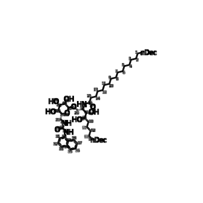 CCCCCCCCCCCCCCCCCCCCCCCCCC(=O)N[C@@H](CO[C@H]1O[C@H](CNC(=O)Nc2cccc3ccccc23)[C@H](O)[C@H](O)[C@H]1O)[C@H](O)[C@H](O)CCCCCCCCCCCCCC